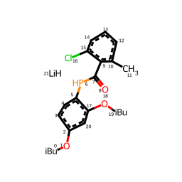 CCC(C)Oc1ccc(PC(=O)c2c(C)cccc2Cl)c(OC(C)CC)c1.[LiH]